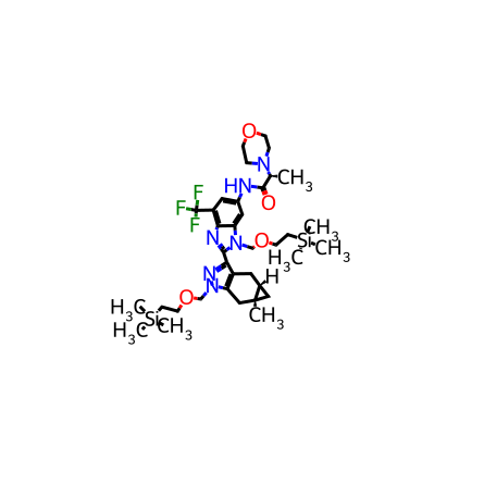 C[C@@H](C(=O)Nc1cc(C(F)(F)F)c2nc(-c3nn(COCC[Si](C)(C)C)c4c3C[C@@H]3C[C@]3(C)C4)n(COCC[Si](C)(C)C)c2c1)N1CCOCC1